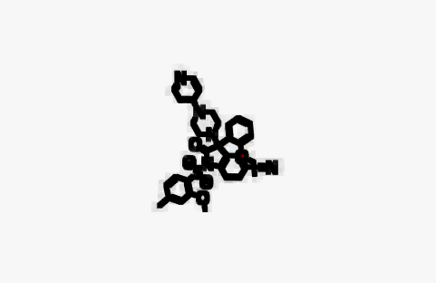 CCOc1ccccc1C1(N2CCN(c3ccncc3)CC2)C(=O)N(S(=O)(=O)c2ccc(C)cc2OC)c2ccc(C#N)cc21